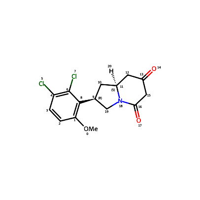 COc1ccc(Cl)c(Cl)c1[C@H]1C[C@H]2CC(=O)CC(=O)N2C1